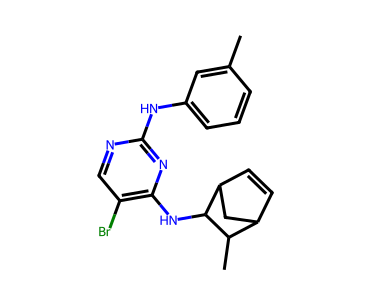 Cc1cccc(Nc2ncc(Br)c(NC3C4C=CC(C4)C3C)n2)c1